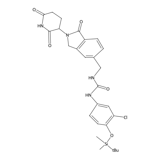 CC(C)(C)[Si](C)(C)Oc1ccc(NC(=O)NCc2ccc3c(c2)CN(C2CCC(=O)NC2=O)C3=O)cc1Cl